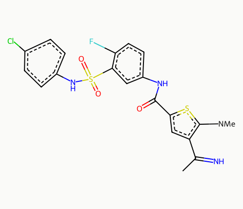 CNc1sc(C(=O)Nc2ccc(F)c(S(=O)(=O)Nc3ccc(Cl)cc3)c2)cc1C(C)=N